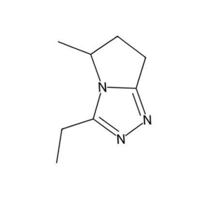 CCc1nnc2n1C(C)CC2